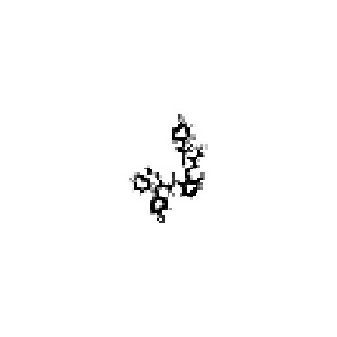 [N-]=[N+]=N[C@@H](C(=O)Nc1cccc(F)c1CCC(CO)NS(=O)(=O)c1ccc(F)cc1)[C@@H](c1ccc(Cl)cc1)C1CCOCC1